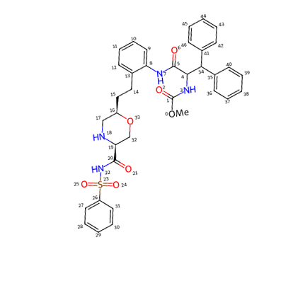 COC(=O)NC(C(=O)Nc1ccccc1CC[C@@H]1CN[C@H](C(=O)NS(=O)(=O)c2ccccc2)CO1)C(c1ccccc1)c1ccccc1